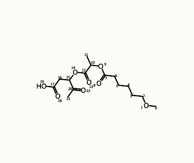 COCCCCCC(=O)OC(C)C(=O)OC(CC(=O)O)C(C)=O